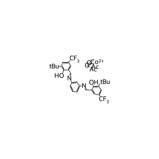 CC(=O)[O-].CC(=O)[O-].CC(C)(C)c1cc(C(F)(F)F)cc(C=Nc2cccc(N=Cc3cc(C(F)(F)F)cc(C(C)(C)C)c3O)c2)c1O.[Co+2]